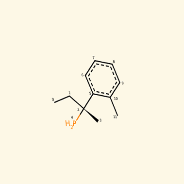 CC[C@@](C)(P)c1ccccc1C